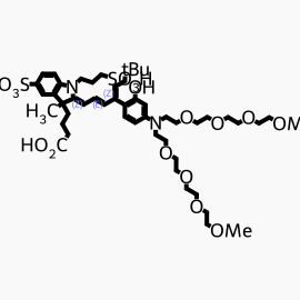 COCCOCCOCCOCCN(CCOCCOCCOCCOC)c1ccc(C(=C\CC(C)(C)C)/C=C/C=C2\N(CCCS(=O)(=O)O)c3ccc(S(=O)(=O)O)cc3C2(C)CCCC(=O)O)c(O)c1